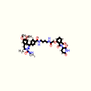 CNC(=O)N1N=C(c2ccc(C(=O)NCCCCNC(=O)COc3cccc4c3C(=O)N(C3CCC(=O)NC3=O)C4=O)cc2)c2cc(OC)c(OC)cc2C[C@@H]1C